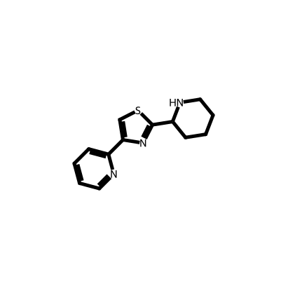 c1ccc(-c2csc(C3CCCCN3)n2)nc1